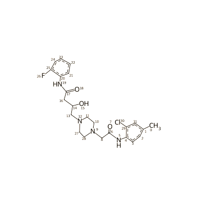 Cc1ccc(NC(=O)CN2CCN(CC(O)CC(=O)Nc3ccccc3F)CC2)c(Cl)c1